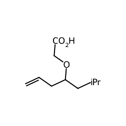 C=CCC(CC(C)C)OCC(=O)O